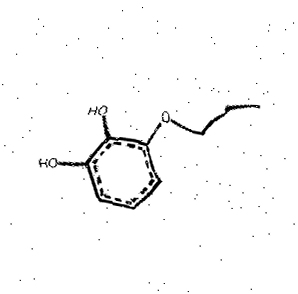 CCCOc1cccc(O)c1O